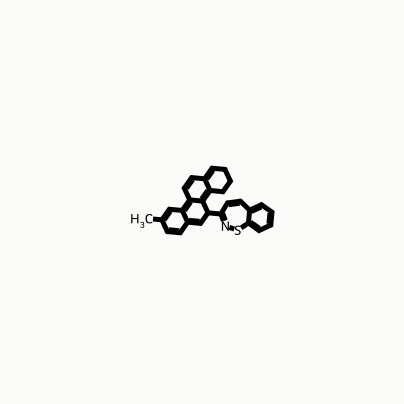 Cc1ccc2c(c1)=c1ccc3c(c1C(C1=NSc4ccccc4C=C1)C=2)CCCC=3